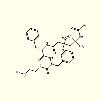 CC(C)NCCNC(=O)[C@H](Cc1ccccc1)NC(=O)[C@H](Cc1ccccc1)NC(=O)CC(C)(C)CC(C)(C)NC(=O)C(C)C